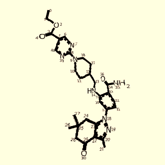 CCOC(=O)c1cnc(N2CCC(CNc3cc(-n4nc(C)c5c4CC(C)(C)CC5=O)ccc3C(N)=O)CC2)nc1